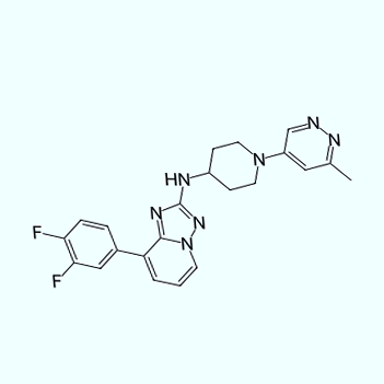 Cc1cc(N2CCC(Nc3nc4c(-c5ccc(F)c(F)c5)cccn4n3)CC2)cnn1